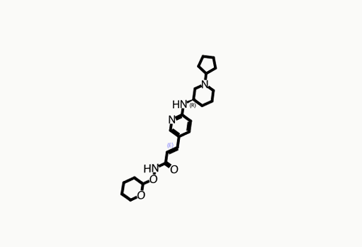 O=C(/C=C/c1ccc(N[C@@H]2CCCN(C3CCCC3)C2)nc1)NOC1CCCCO1